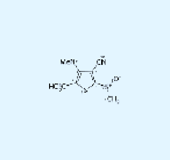 CNc1c(C(=O)O)sc([S+](C)[O-])c1C#N